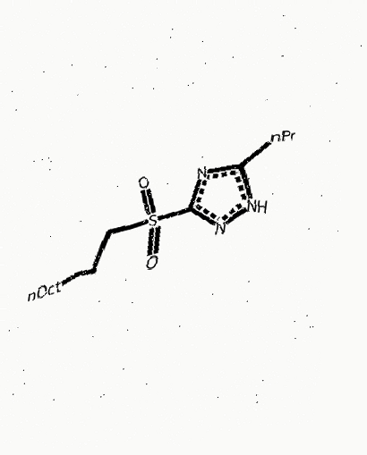 CCCCCCCCCCS(=O)(=O)c1n[nH]c(CCC)n1